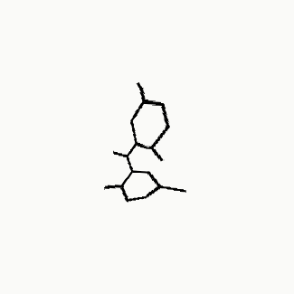 CC1CCC(C)C(C(C)C2CC(C)CCC2C)C1